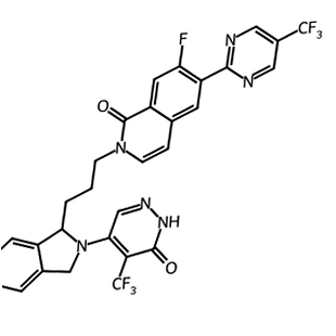 O=c1[nH]ncc(N2Cc3ccccc3C2CCCn2ccc3cc(-c4ncc(C(F)(F)F)cn4)c(F)cc3c2=O)c1C(F)(F)F